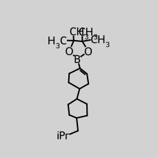 CC(C)CC1CCC(C2CC=C(B3OC(C)(C)C(C)(C)O3)CC2)CC1